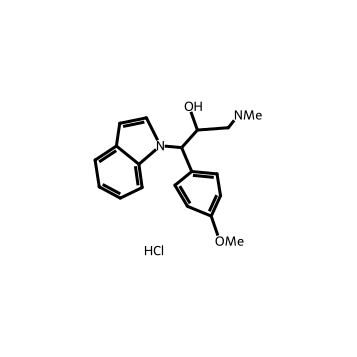 CNCC(O)C(c1ccc(OC)cc1)n1ccc2ccccc21.Cl